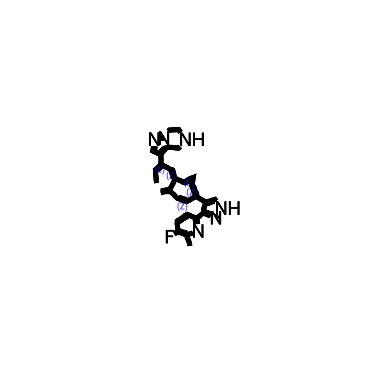 C=C1\C=C/C(c2c[nH]nc2-c2ccc(F)c(C)n2)=C/C=C/C1=C/C(=C\C)c1cnn2c1CNCC2